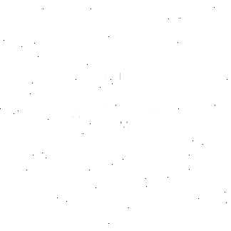 O=[C](O)[Mo](=[S])=[S]